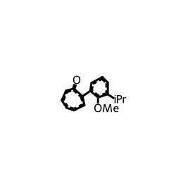 COc1c(-c2cccccc2=O)cccc1C(C)C